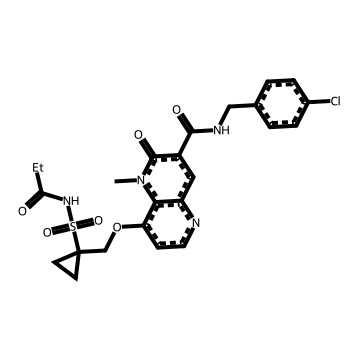 CCC(=O)NS(=O)(=O)C1(COc2ccnc3cc(C(=O)NCc4ccc(Cl)cc4)c(=O)n(C)c23)CC1